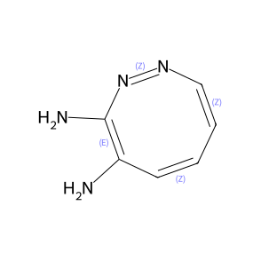 NC1=C(N)/N=N\C=C/C=C\1